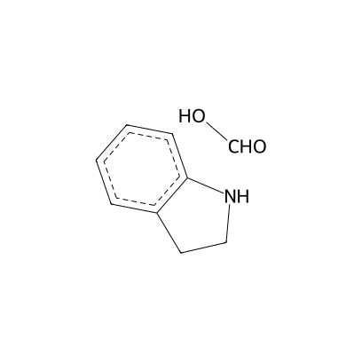 O=CO.c1ccc2c(c1)CCN2